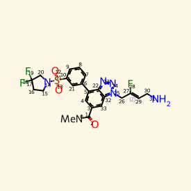 CNC(=O)c1cc(-c2cccc(S(=O)(=O)N3CCC(F)(F)C3)c2)c2nnn(C/C(F)=C/CN)c2c1